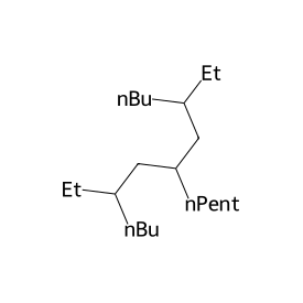 CCCCCC(CC(CC)CCCC)CC(CC)CCCC